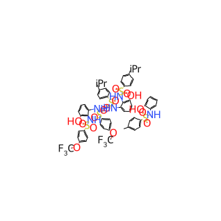 CC(C)c1ccc(S(=O)(=O)Nc2cccc(O)c2NS(=O)(=O)c2ccc(C(C)C)cc2)cc1.Cc1ccc(S(=O)(=O)Nc2ccccc2O)cc1.O=S(=O)(Nc1cccc(O)c1NS(=O)(=O)c1ccc(OC(F)(F)F)cc1)c1ccc(OC(F)(F)F)cc1